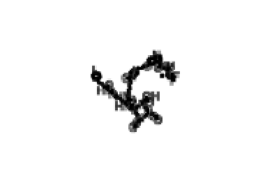 C#C[C@H]1CC(F)(F)CN1C(=O)CNC(=O)c1ccnc2ccc(OCCCN3CCN(C(=O)CCCCCNC(=O)C(CCCC/N=C(\C)NC(=O)CCCc4ccc(I)cc4)NC(=O)CN4CCN(COC=O)CCN(COC=O)CCN(CC(=O)O)CC4)CC3)cc12